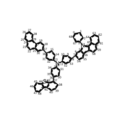 c1ccc(-n2c3cc(-c4ccc(N(c5ccc(-c6ccc7c(ccc8ccccc87)c6)cc5)c5ccc(-c6cccc7c6sc6ccccc67)cc5)cc4)ccc3c3ccc4ccccc4c32)cc1